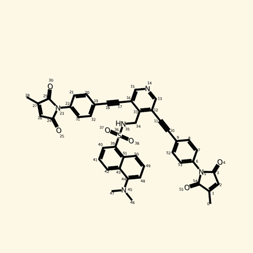 CC1=CC(=O)N(c2ccc(C#Cc3cncc(C#Cc4ccc(N5C(=O)C=C(C)C5=O)cc4)c3CNS(=O)(=O)c3cccc4c(N(C)C)cccc34)cc2)C1=O